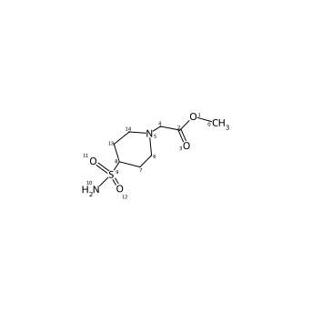 COC(=O)CN1CCC(S(N)(=O)=O)CC1